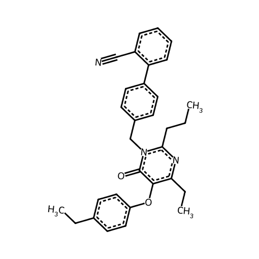 CCCc1nc(CC)c(Oc2ccc(CC)cc2)c(=O)n1Cc1ccc(-c2ccccc2C#N)cc1